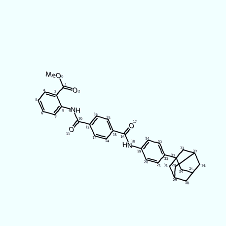 COC(=O)c1ccccc1NC(=O)c1ccc(C(=O)Nc2ccc(C34CC5CC(CC(C5)C3)C4)cc2)cc1